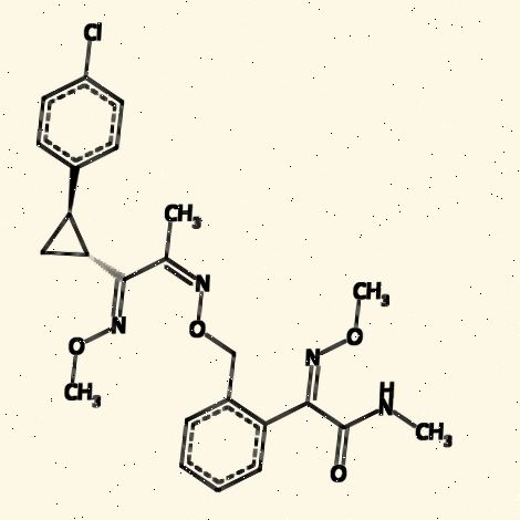 CNC(=O)C(=NOC)c1ccccc1CON=C(C)C(=NOC)[C@@H]1C[C@H]1c1ccc(Cl)cc1